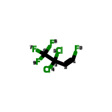 F/C=C\C(Cl)(Cl)C(F)(F)F